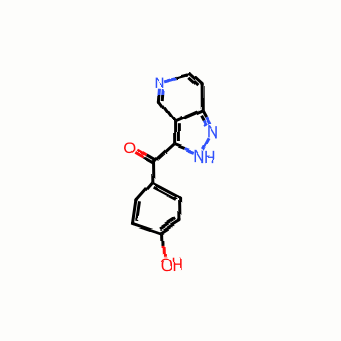 O=C(c1ccc(O)cc1)c1[nH]nc2ccncc12